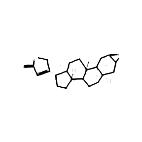 C[C@]12CC3OC3C[C@H]1CC[C@@H]1[C@@H]2CC[C@]2(C)[C@@H](C3=CC(=O)OC3)CC[C@@H]12